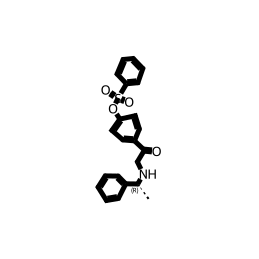 C[C@@H](NCC(=O)c1ccc(OS(=O)(=O)c2ccccc2)cc1)c1ccccc1